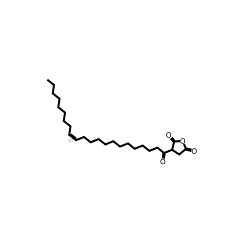 CCCCCCCC/C=C\CCCCCCCCCCCC(=O)C1CC(=O)OC1=O